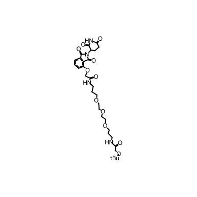 CC(C)(C)OCC(=O)NCCCOCCOCCOCCCNC(=O)COc1cccc2c1C(=O)N(C1CCC(=O)NC1=O)C2=O